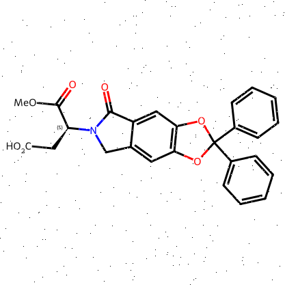 COC(=O)[C@H](CC(=O)O)N1Cc2cc3c(cc2C1=O)OC(c1ccccc1)(c1ccccc1)O3